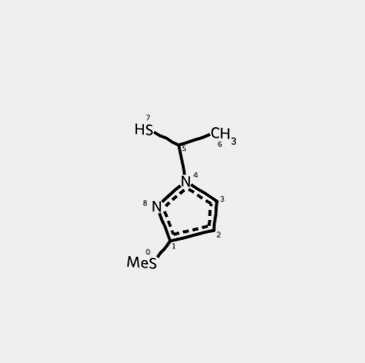 CSc1ccn(C(C)S)n1